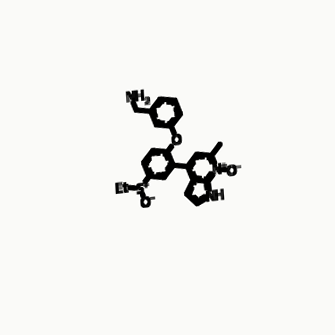 CC[S+]([O-])c1ccc(Oc2cccc(CN)c2)c(-c2cc(C)[n+]([O-])c3[nH]ccc23)c1